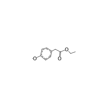 CCOC(=O)Cc1ccc([O])cc1